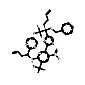 C=CCC[C@@](OCc1ccccc1)(c1nnc(-c2nc(NC(CC=C)c3ncccn3)c(C(F)(F)F)cc2[N+](=O)[O-])o1)C(F)(F)F